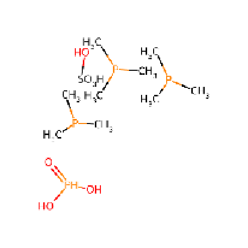 CP(C)C.CP(C)C.CP(C)C.O=S(=O)(O)O.O=[PH](O)O